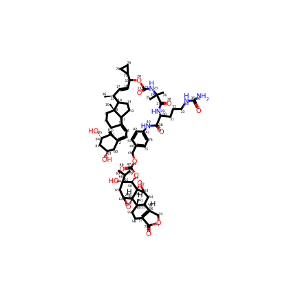 C=C1/C(=C\C=C2/CCC[C@@]3(C)C2CCC3[C@@H](C)/C=C/C(OC(=O)NC(C)(C)C(=O)NC(CCCNC(N)=O)C(=O)Nc2ccc(COC(=O)O[C@H]3[C@]45O[C@H]4C[C@H]4C6=C(CC[C@]4(C)[C@@]54O[C@H]4C[C@@]3(O)C(C)C)C(=O)OC6)cc2)C2CC2)C[C@@H](O)C[C@@H]1O